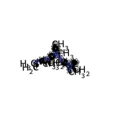 C=C/C(C)=C\C1=CC(C)=C(/C=C(\C=C)c2ccc(N(/C(C)=C/C=C(\C)c3ccc(-n4c(/C=C\C)c(C=C)c5ccccc54)cc3)c3ccc(C)cc3)cc2)C1